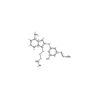 CC(C)NCCCn1c(Sc2cc(Cl)cc(/C=C/C(C)(C)C)c2)nc2c(N)ncnc21